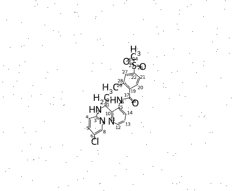 C=C(Nc1ccc(Cl)cn1)c1ncccc1NC(=O)c1ccc(S(C)(=O)=O)cc1C